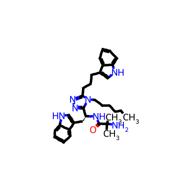 CCCCCCn1c(CCCc2c[nH]c3ccccc23)nnc1[C@@H](Cc1c[nH]c2ccccc12)NC(=O)C(C)(C)N